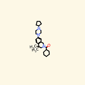 CC1(C)CN(C(=O)C2CCCCC2)Cc2cc(N3CCN(C4CCCC4)CC3)ccc21